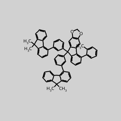 Cc1ccccc1-c1cccc2c1-c1cc3c(cc1C2(c1cccc(-c2cccc4c2-c2ccccc2C4(C)C)c1)c1cccc(-c2cccc4c2-c2ccccc2C4(C)C)c1)OCO3